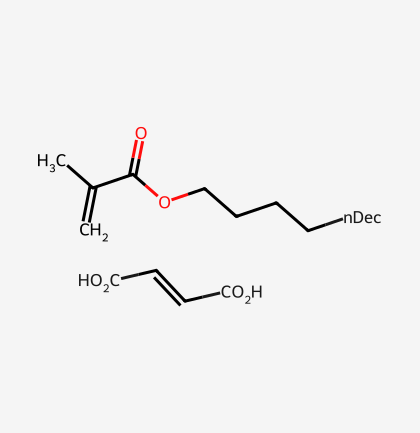 C=C(C)C(=O)OCCCCCCCCCCCCCC.O=C(O)/C=C/C(=O)O